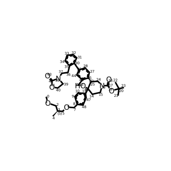 COC[C@H](C)COCc1ccc([C@@]2(O)CCN(C(=O)OC(C)(C)C)C[C@@H]2c2ccc(-c3ccccc3CCN3CCOC3=O)cc2C)cc1